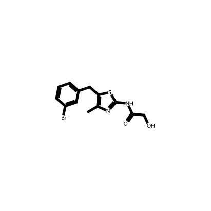 Cc1nc(NC(=O)CO)sc1Cc1cccc(Br)c1